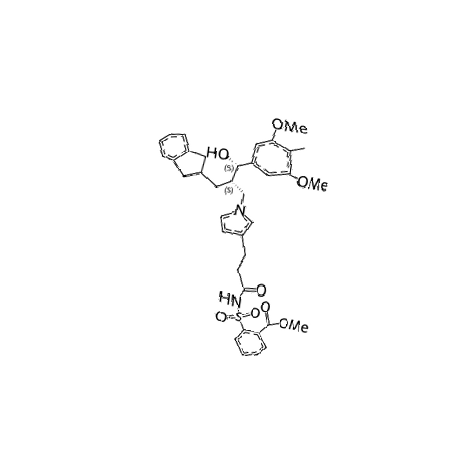 COC(=O)c1ccccc1S(=O)(=O)NC(=O)CCc1ccn(C[C@H](CC2Cc3ccccc3C2)[C@H](O)c2cc(OC)c(C)c(OC)c2)c1